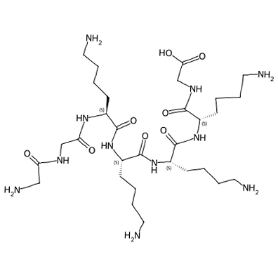 NCCCC[C@H](NC(=O)CNC(=O)CN)C(=O)N[C@@H](CCCCN)C(=O)N[C@@H](CCCCN)C(=O)N[C@@H](CCCCN)C(=O)NCC(=O)O